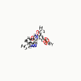 Cc1cc(S(=O)(=O)C(C)C)ccc1C(=O)N1CCC2(CC1)Oc1ccccc1-c1c2cnn1C